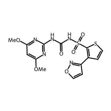 COc1cc(OC)nc(NC(=O)NS(=O)(=O)c2sccc2-c2ccon2)n1